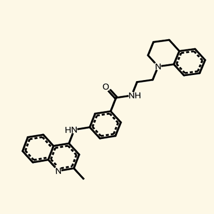 Cc1cc(Nc2cccc(C(=O)NCCN3CCCc4ccccc43)c2)c2ccccc2n1